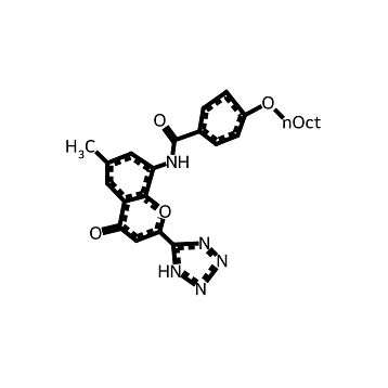 CCCCCCCCOc1ccc(C(=O)Nc2cc(C)cc3c(=O)cc(-c4nnn[nH]4)oc23)cc1